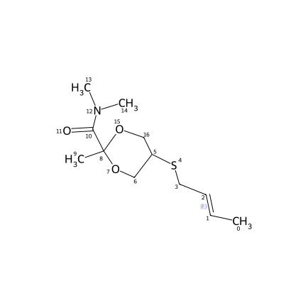 C/C=C/CSC1COC(C)(C(=O)N(C)C)OC1